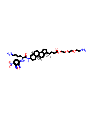 C[C@]12CCC3C(CC[C@@H]4C[C@H](NC(=O)[C@H](CCCCN)Nc5ccc([N+](=O)[O-])c6nonc56)CC[C@]34C)C1CCC2CCCC(=O)OCCOCCOCCN